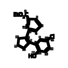 CCOC(=O)c1cccc(C2=C(c3cc(Cl)ccc3O)CCC2)n1